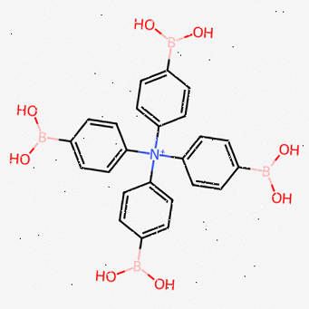 OB(O)c1ccc([N+](c2ccc(B(O)O)cc2)(c2ccc(B(O)O)cc2)c2ccc(B(O)O)cc2)cc1